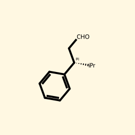 CC(C)[C@@H](CC=O)c1ccccc1